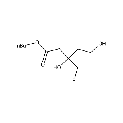 CCCCOC(=O)CC(O)(CF)CCO